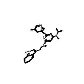 CC(C)N(C)c1cc(NCCc2c[nH]c3ccccc23)nc(-c2cncc(F)c2)n1